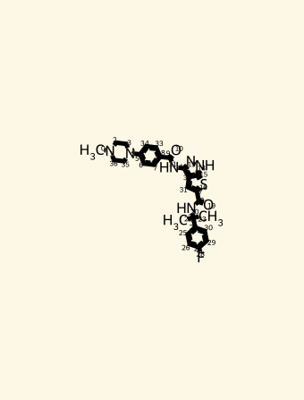 CN1CCN(c2ccc(C(=O)Nc3n[nH]c4sc(C(=O)NC(C)(C)c5ccc(F)cc5)cc34)cc2)CC1